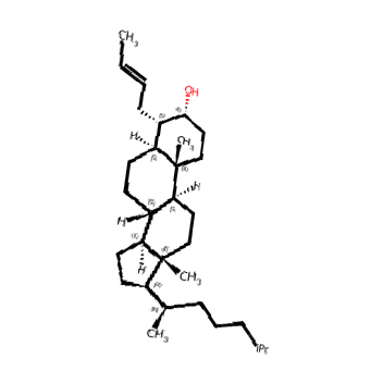 CC=CC[C@@H]1[C@H](O)CC[C@@]2(C)[C@H]1CC[C@@H]1[C@@H]2CC[C@]2(C)[C@@H]([C@H](C)CCCC(C)C)CC[C@@H]12